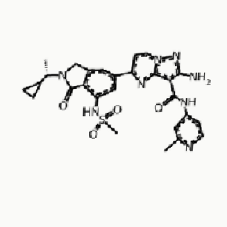 Cc1cc(NC(=O)c2c(N)nn3ccc(-c4cc5c(c(NS(C)(=O)=O)c4)C(=O)N([C@@H](C)C4CC4)C5)nc23)ccn1